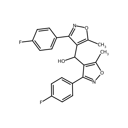 Cc1onc(-c2ccc(F)cc2)c1C(O)c1c(-c2ccc(F)cc2)noc1C